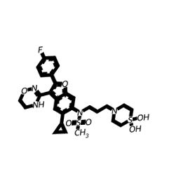 CS(=O)(=O)N(CCCN1CCS(O)(O)CC1)c1cc2oc(-c3ccc(F)cc3)c(C3=NOCCN3)c2cc1C1CC1